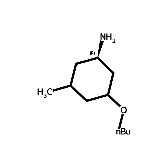 CCCCOC1CC(C)C[C@@H](N)C1